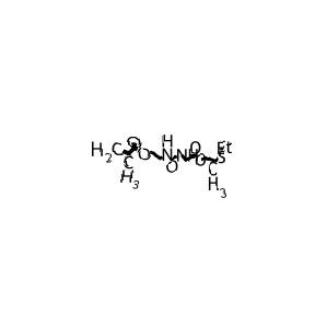 C=C(C)C(=O)OCCNC(=O)NCC(=O)OCC(C)SCC